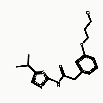 CC(C)c1cnc(NC(=O)Cc2cccc(OCCCCl)c2)s1